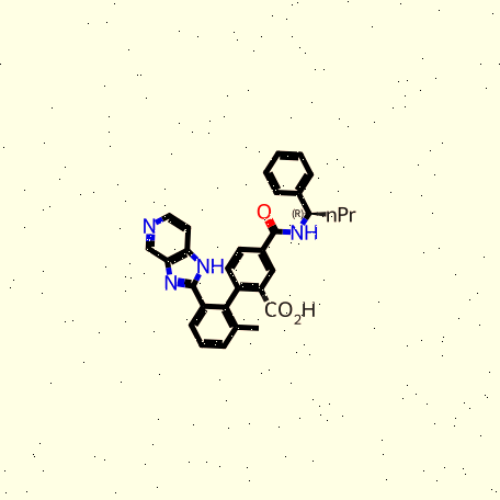 CCC[C@@H](NC(=O)c1ccc(-c2c(C)cccc2-c2nc3cnccc3[nH]2)c(C(=O)O)c1)c1ccccc1